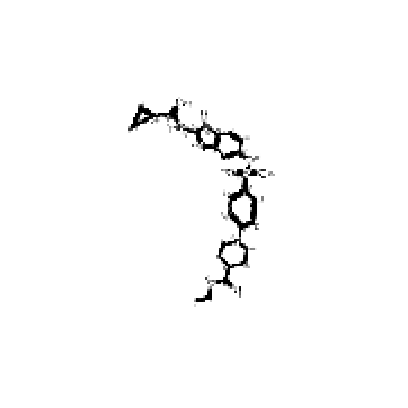 CCOC(=O)C1CCN(c2ccc(S(=O)(=O)Oc3ccc4[nH]c(NC(=O)C5CC5)nc4c3)cc2)CC1